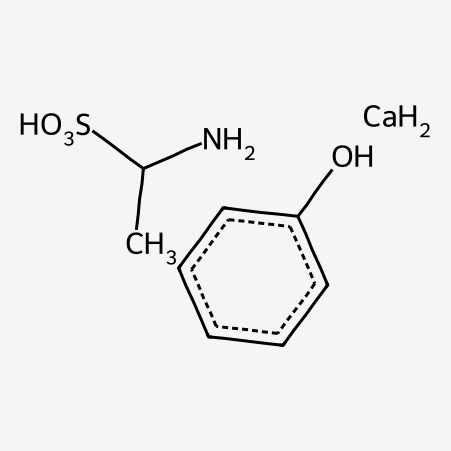 CC(N)S(=O)(=O)O.Oc1ccccc1.[CaH2]